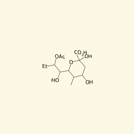 CCC(OC(C)=O)C(O)C1OC(O)(C(=O)O)CC(O)C1C